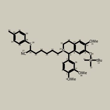 COc1ccc(C2c3cc(O[Si](C)(C)C(C)(C)C)c(OC)cc3CCN2CCCCCC(C#N)Sc2ccc(C)cc2)cc1OC